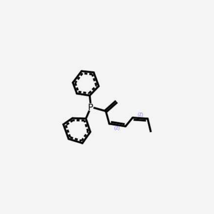 C=C(/C=C\C=C/C)P(c1ccccc1)c1ccccc1